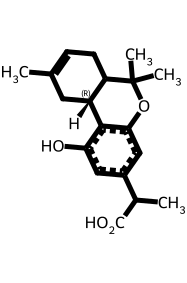 CC1=CCC2[C@@H](C1)c1c(O)cc(C(C)C(=O)O)cc1OC2(C)C